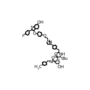 Cc1ccc(CNC(=O)[C@@H]2C[C@@H](O)CN2C(=O)[C@@H](NC(=O)Cc2ccc(-c3ccn(CCOc4ccc(Oc5c(-c6ccc(F)cc6)sc6cc(O)ccc56)cc4)n3)cc2)C(C)(C)C)cc1